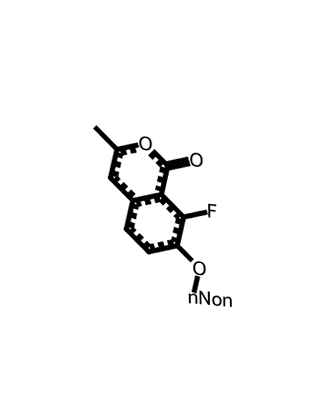 CCCCCCCCCOc1ccc2cc(C)oc(=O)c2c1F